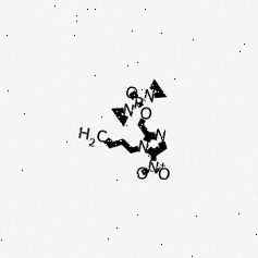 C=CCCn1c([N+](=O)[O-])cnc1COP(=O)(N1CC1)N1CC1